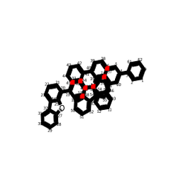 c1ccc(-c2cccc(-c3ccccc3N(c3ccc(-c4cccc5c4oc4ccccc45)cc3)c3ccccc3-c3ccccc3-n3c4ccccc4c4ccccc43)c2)cc1